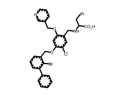 CC(C)CC(NCc1cc(Cl)c(OCc2cccc(-c3ccccc3)c2Br)cc1OCc1cccnc1)C(=O)O